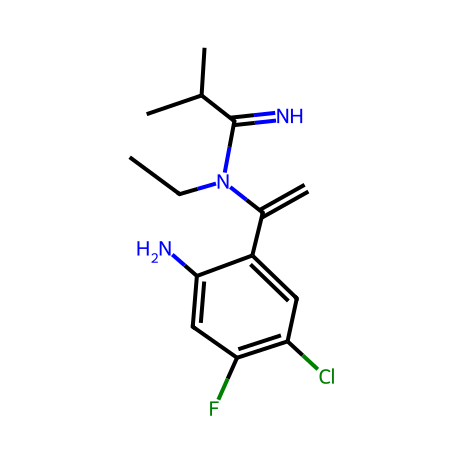 C=C(c1cc(Cl)c(F)cc1N)N(CC)C(=N)C(C)C